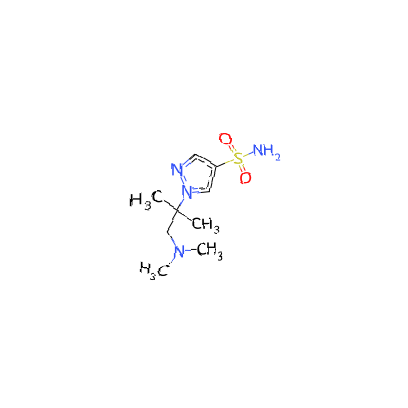 CN(C)CC(C)(C)n1cc(S(N)(=O)=O)cn1